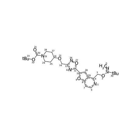 C[SiH](OCc1nccc2oc(-c3nc(COC4CCN(C(=O)OC(C)(C)C)CC4)no3)cc12)C(C)(C)C